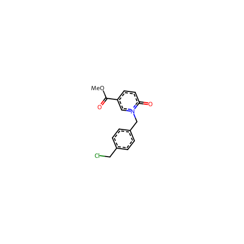 COC(=O)c1ccc(=O)n(Cc2ccc(CCl)cc2)c1